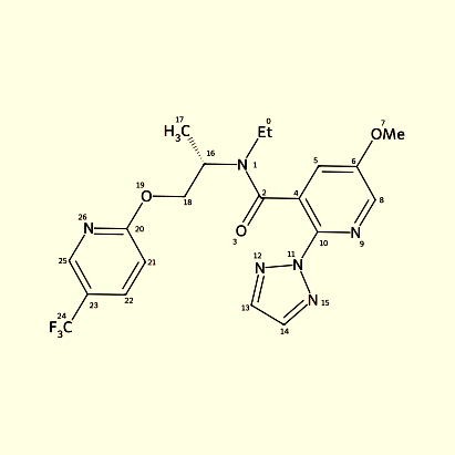 CCN(C(=O)c1cc(OC)cnc1-n1nccn1)[C@@H](C)COc1ccc(C(F)(F)F)cn1